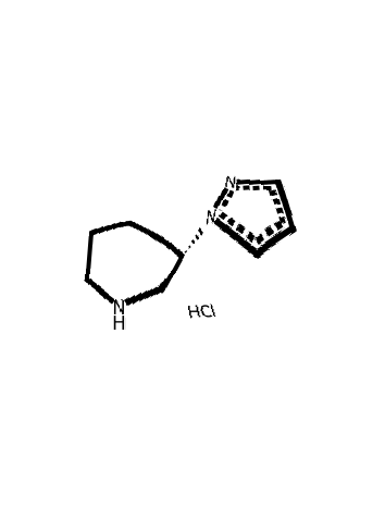 Cl.c1cnn([C@H]2CCCNC2)c1